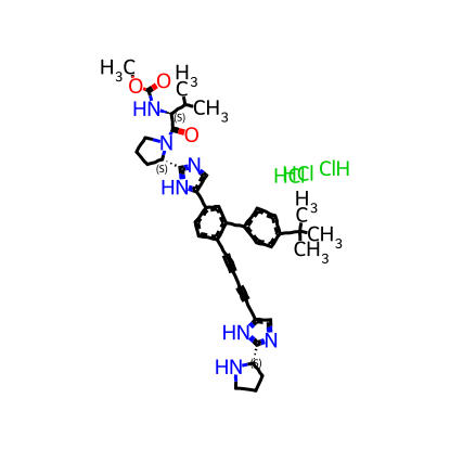 COC(=O)N[C@H](C(=O)N1CCC[C@H]1c1ncc(-c2ccc(C#CC#Cc3cnc([C@@H]4CCCN4)[nH]3)c(-c3ccc(C(C)(C)C)cc3)c2)[nH]1)C(C)C.Cl.Cl.Cl